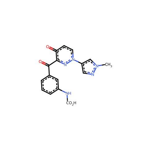 Cn1cc(-n2ccc(=O)c(C(=O)c3cccc(NC(=O)O)c3)n2)cn1